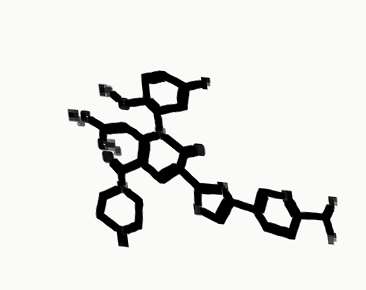 CCOc1ccc(F)cc1-n1c(C=C(C)C)c(C(=O)N2CCNCC2)cc(-c2nc(-c3ccc(C(F)F)nc3)cs2)c1=O